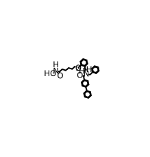 [2H]C([2H])(c1ccccc1OCCCCCC(=O)NO)N(Cc1ccccc1)C(=O)c1ccc(-c2ccccc2)cc1